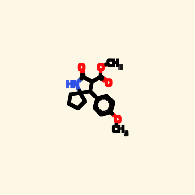 COC(=O)C1C(=O)NC2(CCCC2)C1c1ccc(OC)cc1